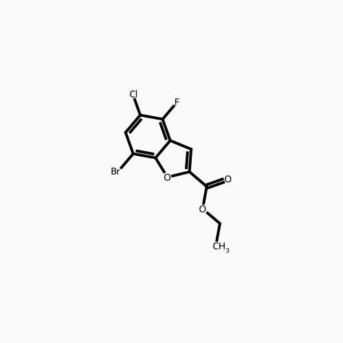 CCOC(=O)c1cc2c(F)c(Cl)cc(Br)c2o1